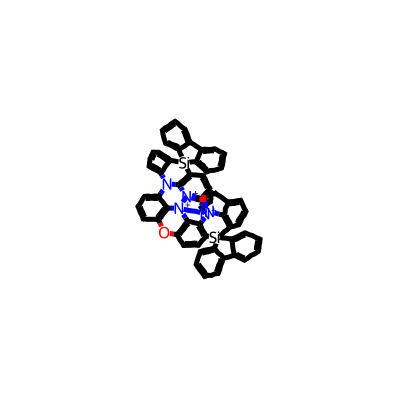 c1ccc2c(c1)-c1ccccc1[Si]21c2ccccc2N2c3cccc4c3[N+]3(c5c(ccc6c5-n5c7c(cccc7c7ccc[n+]3c75)[Si]63c5ccccc5-c5ccccc53)O4)[n+]3cccc1c32